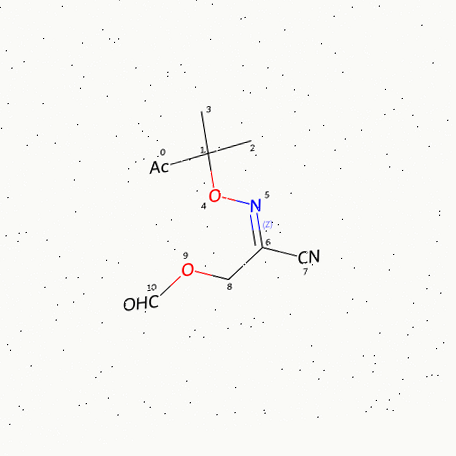 CC(=O)C(C)(C)O/N=C(/C#N)COC=O